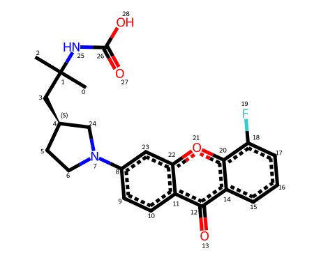 CC(C)(C[C@@H]1CCN(c2ccc3c(=O)c4cccc(F)c4oc3c2)C1)NC(=O)O